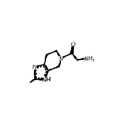 Cc1nc2c([nH]1)CN(C(=O)CN)CC2